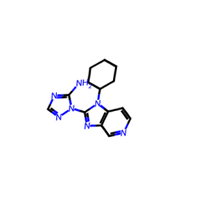 Nc1ncnn1-c1nc2cnccc2n1C1CCCCC1